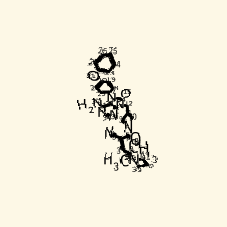 CC(C)(/C=C(/C#N)C(=O)N1CC(Cn2c(=O)n(-c3ccc(Oc4ccccc4)cc3)c3c(N)ncnc32)C1)N1CCC1